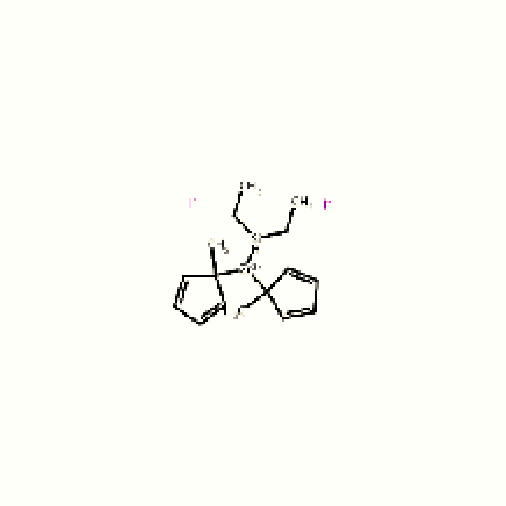 CC[SiH](CC)[Zr+2]([C]1(C)C=CC=C1)[C]1(C)C=CC=C1.[I-].[I-]